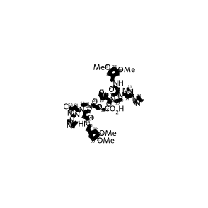 COc1cc(CNC(=O)CC2CN(C(=O)C3CCOC3)CCN2c2cc(-n3ccnc3)ncn2)cc(OC)c1.COc1ccc(CCNC(=O)CC2CN(C(=O)COCC(=O)O)CCN2c2cc(Cl)nc(-n3ccnc3)n2)cc1OC